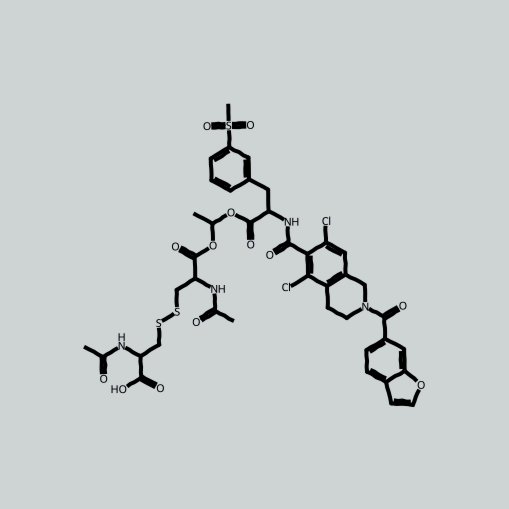 CC(=O)NC(CSSCC(NC(C)=O)C(=O)OC(C)OC(=O)C(Cc1cccc(S(C)(=O)=O)c1)NC(=O)c1c(Cl)cc2c(c1Cl)CCN(C(=O)c1ccc3ccoc3c1)C2)C(=O)O